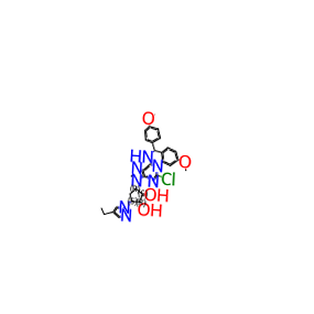 CCc1cnn([C@H]2C[C@@H](n3cnc4c(NC(c5ccc(OC)cc5)c5ccc(OC)cc5)nc(Cl)nc43)[C@H](O)[C@@H]2O)c1